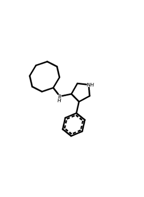 B(C1CCCCCCC1)C1CNCC1c1ccccc1